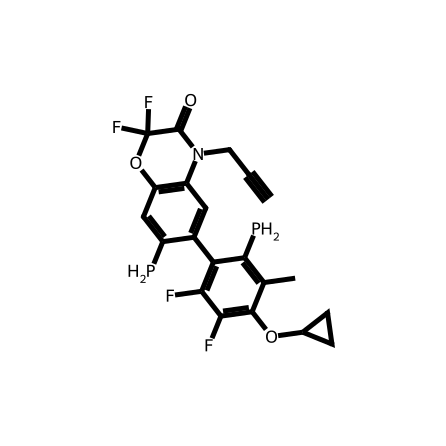 C#CCN1C(=O)C(F)(F)Oc2cc(P)c(-c3c(F)c(F)c(OC4CC4)c(C)c3P)cc21